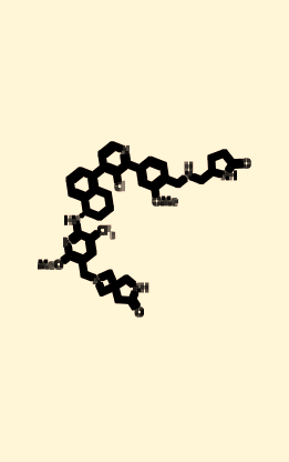 COc1cc(-c2nccc(-c3cccc4c3CCC[C@@H]4Nc3nc(OC)c(CN4CC5(CNC(=O)C5)C4)cc3C(F)(F)F)c2Cl)ccc1CNCC1CCC(=O)N1